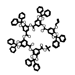 C=CCOc1cc(C(=O)Oc2cc(C(=O)Oc3cc(C(=O)Oc4cc(C(=O)Oc5cc(C(=O)OC(C)(C)C)cc6c5OC(c5ccccc5)(c5ccccc5)O6)cc5c4OC(c4ccccc4)(c4ccccc4)O5)cc4c3OC(c3ccccc3)(c3ccccc3)O4)cc3c2OC(c2ccccc2)(c2ccccc2)O3)cc2c1OC(c1ccccc1)(c1ccccc1)O2